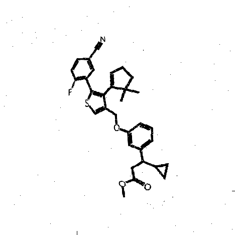 COC(=O)CC(c1cccc(OCc2csc(-c3cc(C#N)ccc3F)c2C2=CCCC2(C)C)c1)C1CC1